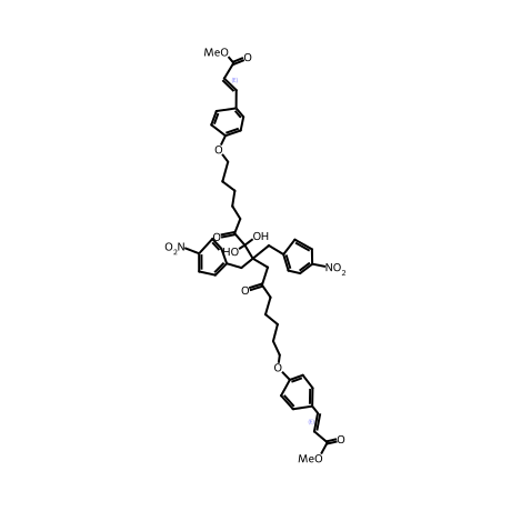 COC(=O)/C=C/c1ccc(OCCCCCC(=O)CC(Cc2ccc([N+](=O)[O-])cc2)(Cc2ccc([N+](=O)[O-])cc2)C(O)(O)C(=O)CCCCCOc2ccc(/C=C/C(=O)OC)cc2)cc1